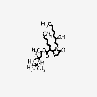 CCCCCC(O)CCN1C(=O)CSC1C(CCCCC)C(=O)OC(C)=CC(=O)NC(C)(C)C